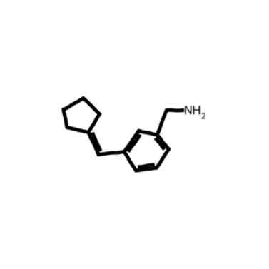 NCc1cccc(C=C2CCCC2)c1